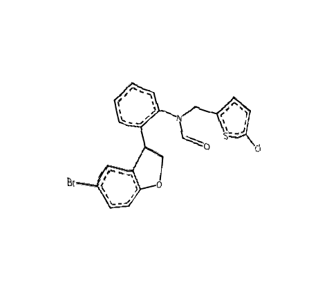 O=CN(Cc1ccc(Cl)s1)c1ccccc1C1COc2ccc(Br)cc21